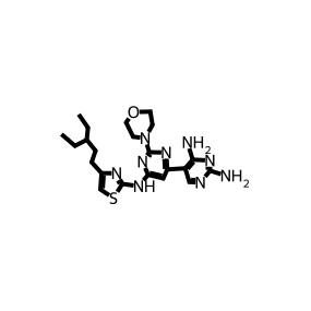 CCC(CC)CCc1csc(Nc2cc(-c3cnc(N)nc3N)nc(N3CCOCC3)n2)n1